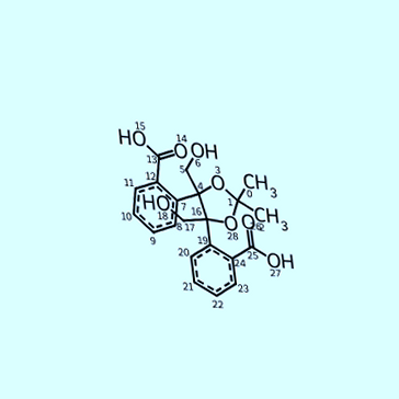 CC1(C)OC(CO)(c2ccccc2C(=O)O)C(CO)(c2ccccc2C(=O)O)O1